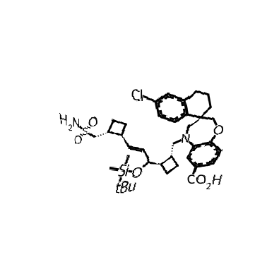 CC(C)(C)[Si](C)(C)OC(/C=C/[C@@H]1CC[C@H]1CS(N)(=O)=O)[C@@H]1CC[C@H]1CN1C[C@@]2(CCCc3cc(Cl)ccc32)COc2ccc(C(=O)O)cc21